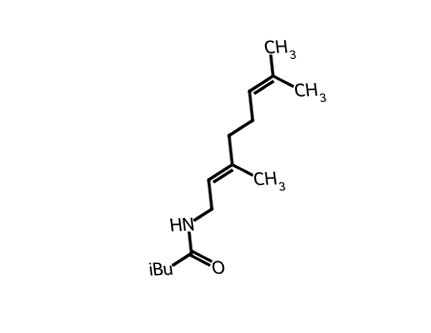 CCC(C)C(=O)NC/C=C(\C)CCC=C(C)C